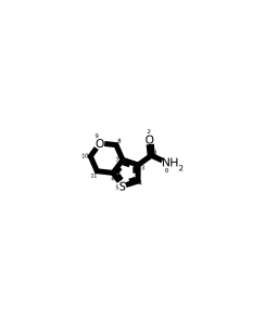 NC(=O)c1csc2c1COCC2